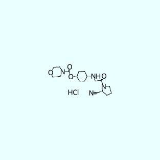 Cl.N#C[C@@H]1CCCN1C(=O)CN[C@H]1CC[C@H](OC(=O)N2CCOCC2)CC1